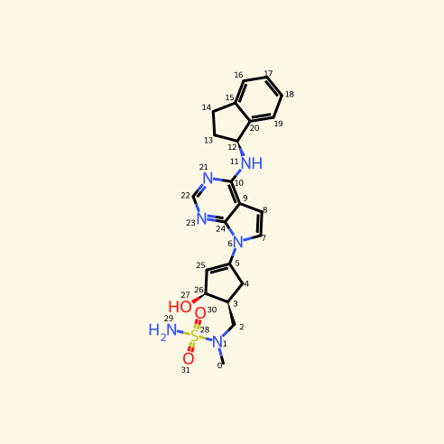 CN(C[C@@H]1CC(n2ccc3c(N[C@H]4CCc5ccccc54)ncnc32)=C[C@@H]1O)S(N)(=O)=O